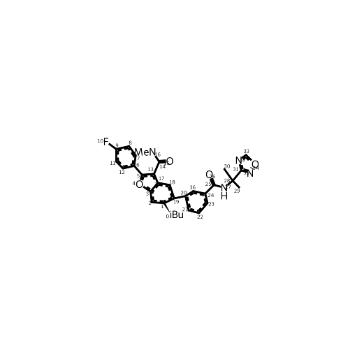 CC[C@H](C)c1cc2oc(-c3ccc(F)cc3)c(C(=O)NC)c2cc1-c1cccc(C(=O)NC(C)(C)c2ncon2)c1